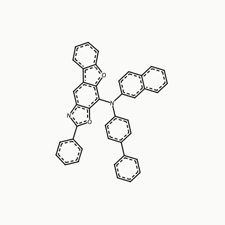 c1ccc(-c2ccc(N(c3ccc4ccccc4c3)c3c4oc(-c5ccccc5)nc4cc4c3oc3ccccc34)cc2)cc1